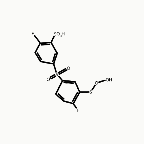 O=S(=O)(O)c1cc(S(=O)(=O)c2ccc(F)c(SOO)c2)ccc1F